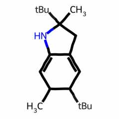 CC1C=C2NC(C)(C(C)(C)C)CC2=CC1C(C)(C)C